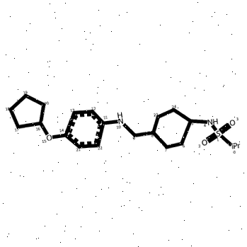 CC(C)S(=O)(=O)NC1CCC(CNc2ccc(OC3CCCC3)cc2)CC1